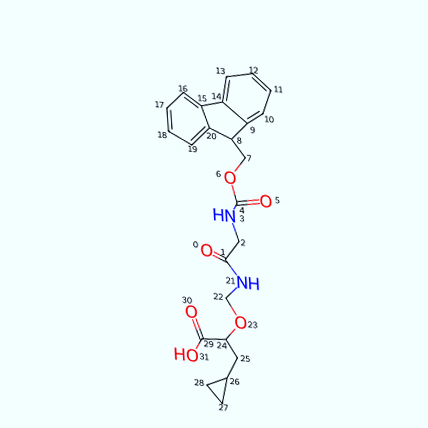 O=C(CNC(=O)OCC1c2ccccc2-c2ccccc21)NCOC(CC1CC1)C(=O)O